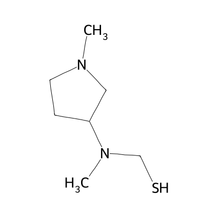 CN1CCC(N(C)CS)C1